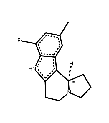 Cc1cc(F)c2[nH]c3c(c2c1)[C@H]1CCCN1CC3